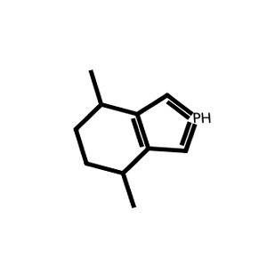 CC1CCC(C)C2=C1C=[PH]=C2